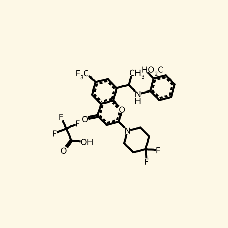 CC(Nc1ccccc1C(=O)O)c1cc(C(F)(F)F)cc2c(=O)cc(N3CCC(F)(F)CC3)oc12.O=C(O)C(F)(F)F